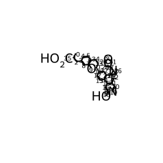 CC(Cc1ccc2c(c1)O[C@H](c1ccc(-c3cc(O)ncc3F)c(CN(C)C3CCOC3)c1)CC2)C(=O)O